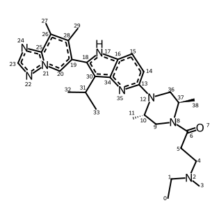 CCN(C)CCC(=O)N1C[C@H](C)N(c2ccc3[nH]c(-c4cn5ncnc5c(C)c4C)c(C(C)C)c3n2)C[C@H]1C